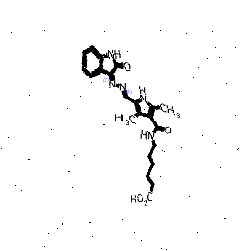 Cc1[nH]c(/C=N/N=C2\C(=O)Nc3ccccc32)c(C)c1C(=O)NCCCCCC(=O)O